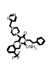 Cc1c(N2CCN(Cc3ccncn3)CC2)c(=O)n(C[C@@H](N)c2ccccc2)c(=O)n1Cc1c(F)cccc1C(F)(F)F